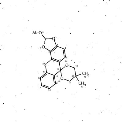 COC1Oc2ccc3c(c2O1)Sc1ccccc1C31OCC(C)(C)CO1